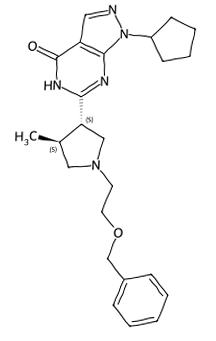 C[C@@H]1CN(CCOCc2ccccc2)C[C@H]1c1nc2c(cnn2C2CCCC2)c(=O)[nH]1